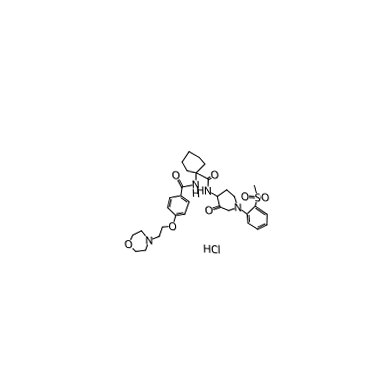 CS(=O)(=O)c1ccccc1N1CCC(NC(=O)C2(NC(=O)c3ccc(OCCN4CCOCC4)cc3)CCCCC2)C(=O)C1.Cl